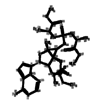 CCC(=O)O[C@H]1[C@H](c2ccc3c(N)ncnn23)O[C@]2(C)C(OP(=O)(N[C@@H](C)C(=O)OC)N[C@@H](C)C(=O)OC)[C@]12OC(=O)CC